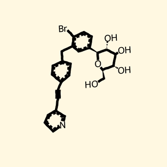 OC[C@H]1O[C@@H](c2ccc(Br)c(Cc3ccc(C#Cc4cccnc4)cc3)c2)[C@H](O)C(O)[C@@H]1O